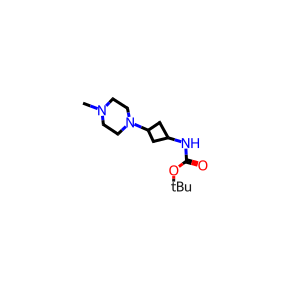 CN1CCN(C2CC(NC(=O)OC(C)(C)C)C2)CC1